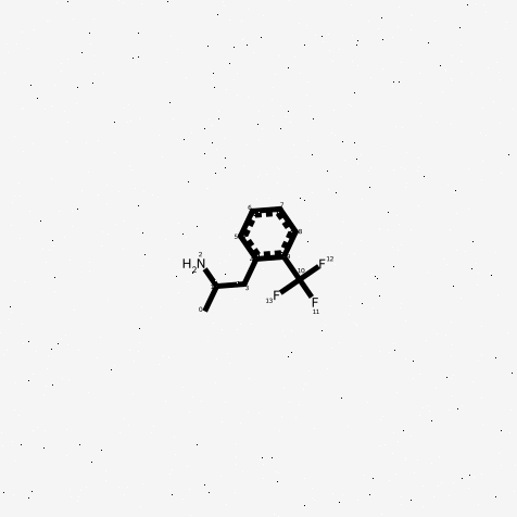 CC(N)Cc1ccccc1C(F)(F)F